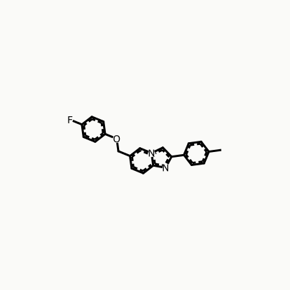 Cc1ccc(-c2cn3cc(COc4ccc(F)cc4)ccc3n2)cc1